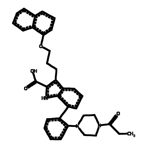 CCC(=O)N1CCN(c2ccccc2-c2cccc3c(CCCOc4cccc5ccccc45)c(C(=O)O)[nH]c23)CC1